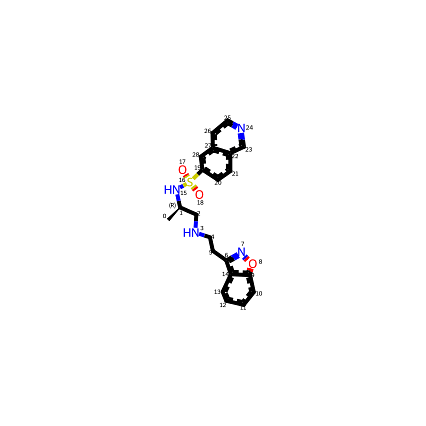 C[C@H](CNCCc1noc2ccccc12)NS(=O)(=O)c1ccc2cnccc2c1